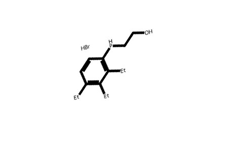 Br.CCc1ccc(PCCO)c(CC)c1CC